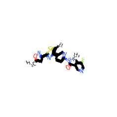 CCc1sc(-c2cc(C)on2)nc1-c1ccc(NC(=O)c2cncc(F)c2C)nc1